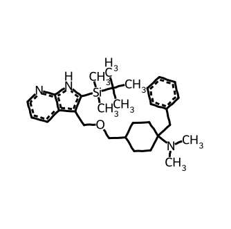 CN(C)C1(Cc2ccccc2)CCC(COCc2c([Si](C)(C)C(C)(C)C)[nH]c3ncccc23)CC1